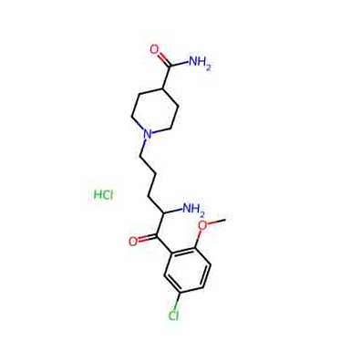 COc1ccc(Cl)cc1C(=O)C(N)CCCN1CCC(C(N)=O)CC1.Cl